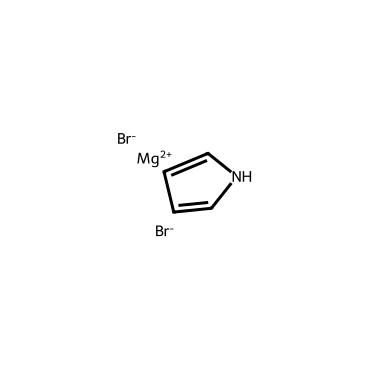 [Br-].[Br-].[Mg+2].c1cc[nH]c1